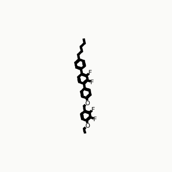 CCCCCc1ccc(-c2ccc(-c3ccc(OCc4ccc(OCC)c(F)c4F)cc3)c(F)c2F)cc1